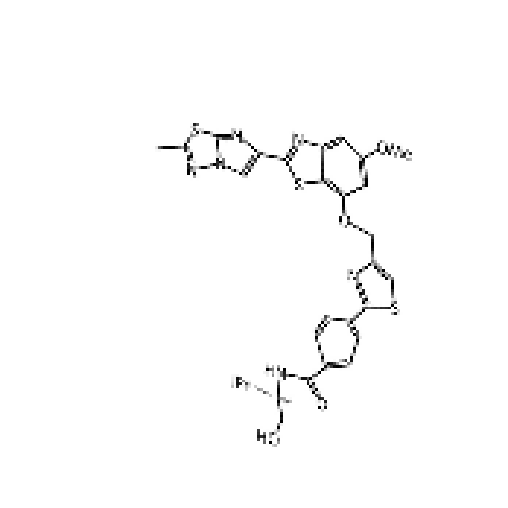 COc1cc(OCc2csc(-c3ccc(C(=O)N[C@H](CO)C(C)C)cc3)n2)c2sc(-c3cn4nc(C)sc4n3)nc2c1